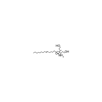 CCCCCCCCC=CCCCCCCC(C(N)=O)(C(C)CCO)C(C)CCO